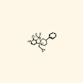 O=c1[nH]ccc([N+]2(CC3CC3)CCC(c3ccccc3)CC2)c1C(F)(F)F